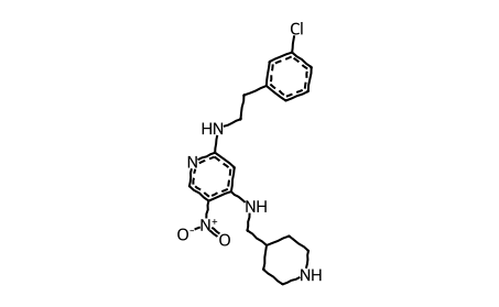 O=[N+]([O-])c1cnc(NCCc2cccc(Cl)c2)cc1NCC1CCNCC1